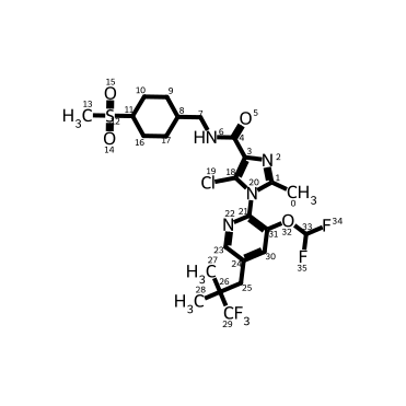 Cc1nc(C(=O)NCC2CCC(S(C)(=O)=O)CC2)c(Cl)n1-c1ncc(CC(C)(C)C(F)(F)F)cc1OC(F)F